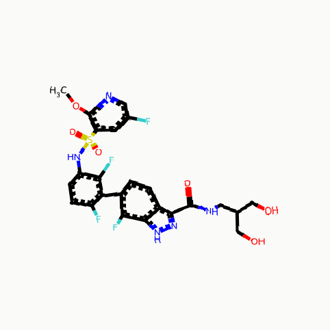 COc1ncc(F)cc1S(=O)(=O)Nc1ccc(F)c(-c2ccc3c(C(=O)NCC(CO)CO)n[nH]c3c2F)c1F